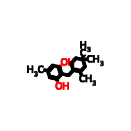 CC1=C(Cc2c(O)cc(C)cc2O)CCC(C)(C)C1